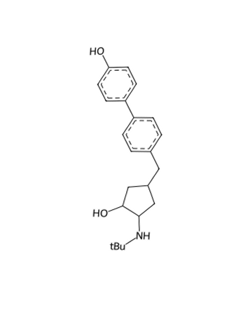 CC(C)(C)NC1CC(Cc2ccc(-c3ccc(O)cc3)cc2)CC1O